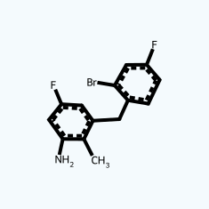 Cc1c(N)cc(F)cc1Cc1ccc(F)cc1Br